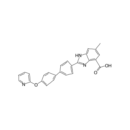 Cc1cc(C(=O)O)c2nc(-c3ccc(-c4ccc(Oc5ccccn5)cc4)cc3)[nH]c2c1